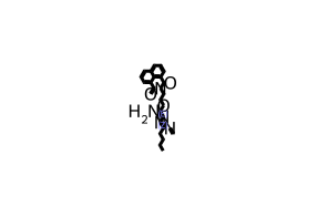 C=N/C(CCCC)=N\N=C(/N)OCCN1C(=O)c2cccc3cccc(c23)C1=O